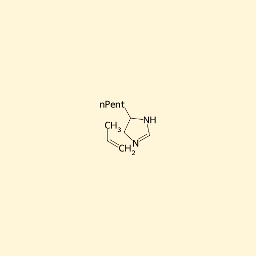 C=CC.CCCCCC1CN=CN1